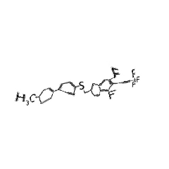 CC1CC=C(c2ccc(SCc3ccc4c(F)c(C#CC(F)(F)F)c(F)cc4c3)cc2)CC1